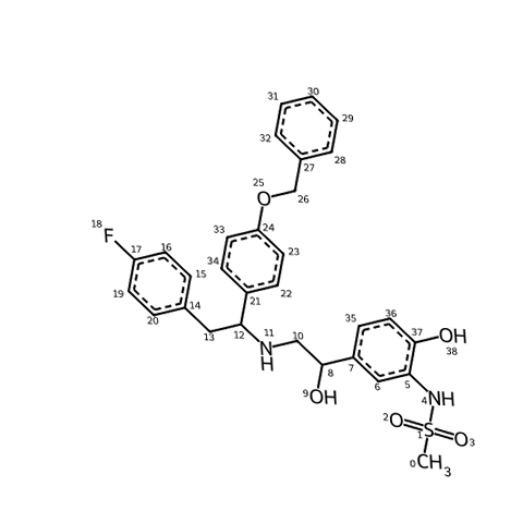 CS(=O)(=O)Nc1cc(C(O)CNC(Cc2ccc(F)cc2)c2ccc(OCc3ccccc3)cc2)ccc1O